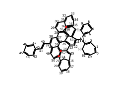 C1=CC=C(N(c2ccccc2)c2cc(C3=CC4=CC=CC=C(C=C3)C4)c(-c3c(-c4ccc5ccccc5c4)cc(/C=C/c4ccccc4)c4ccccc34)c3ccccc23)CC=C1